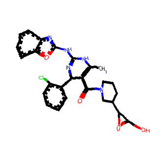 CC1=C(C(=O)N2CCCC(C3OC3O)C2)C(c2ccccc2Cl)N=C(Nc2nc3ccccc3o2)N1